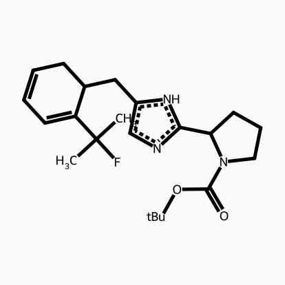 CC(C)(C)OC(=O)N1CCCC1c1ncc(CC2CC=CC=C2C(C)(C)F)[nH]1